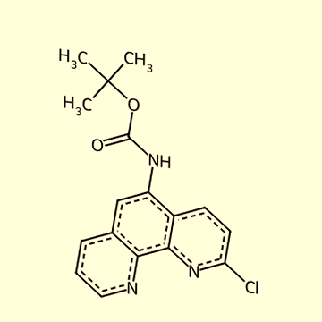 CC(C)(C)OC(=O)Nc1cc2cccnc2c2nc(Cl)ccc12